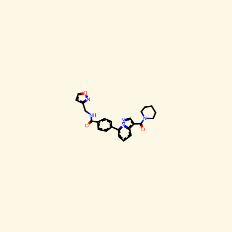 O=C(NCc1ccon1)c1ccc(-c2cccc3c(C(=O)N4CCCCC4)cnn23)cc1